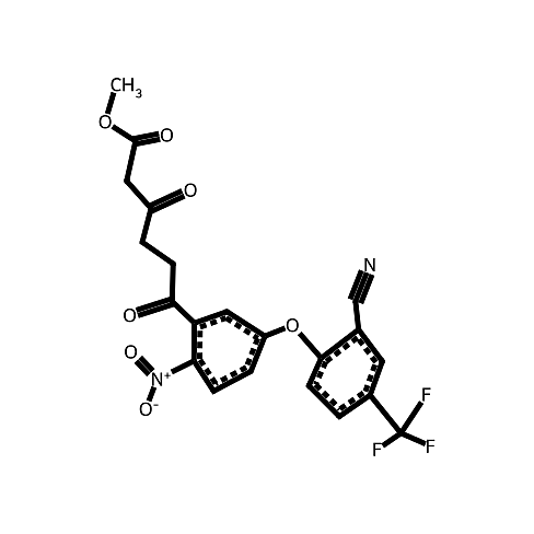 COC(=O)CC(=O)CCC(=O)c1cc(Oc2ccc(C(F)(F)F)cc2C#N)ccc1[N+](=O)[O-]